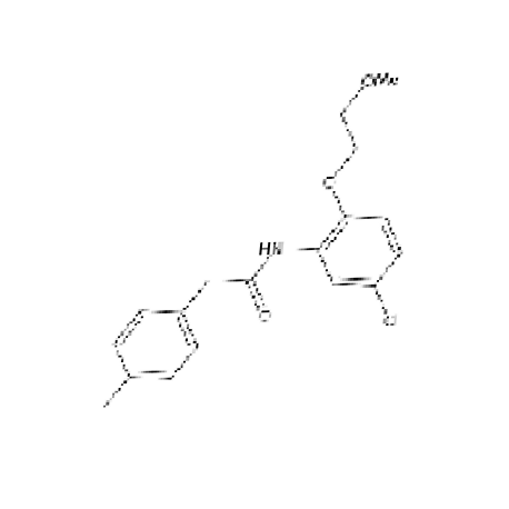 COCCOc1ccc(Cl)cc1NC(=O)Cc1ccc(C)cc1